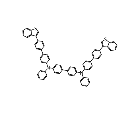 c1ccc(N(c2ccc(-c3ccc(-c4csc5ccccc45)cc3)cc2)c2ccc(-c3ccc(N(c4ccccc4)c4ccc(-c5ccc(-c6csc7ccccc67)cc5)cc4)cc3)cc2)cc1